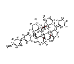 Cc1ccc2c(c1)C1(c3cc(C)ccc3N2c2ccccc2)c2ccccc2C2(c3cc(C)ccc3N(c3ccc(-c4ccc(C#N)cn4)cc3)c3ccc(C)cc32)c2ccccc21